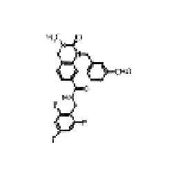 CN1Cc2ccc(C(=O)NCc3c(F)cc(F)cc3F)cc2N(Cc2cccc(C=O)c2)C1=O